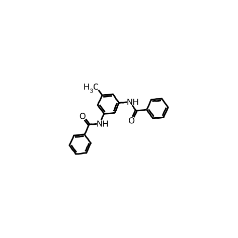 Cc1cc(NC(=O)c2ccccc2)cc(NC(=O)c2ccccc2)c1